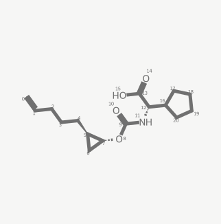 C=CCCC[C@@H]1C[C@H]1OC(=O)N[C@H](C(=O)O)C1CCCC1